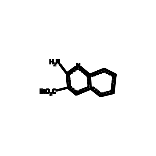 CCOC(=O)c1cc2ccccc2nc1N